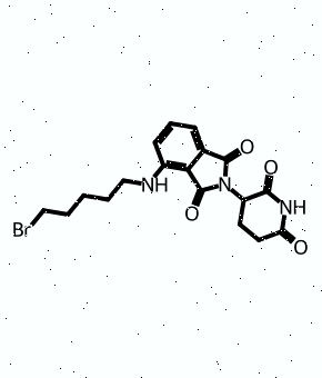 O=C1CCC(N2C(=O)c3cccc(NCCCCCBr)c3C2=O)C(=O)N1